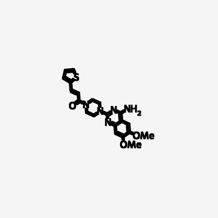 COc1cc2nc(N3CCN(C(=O)/C=C/c4cccs4)CC3)nc(N)c2cc1OC